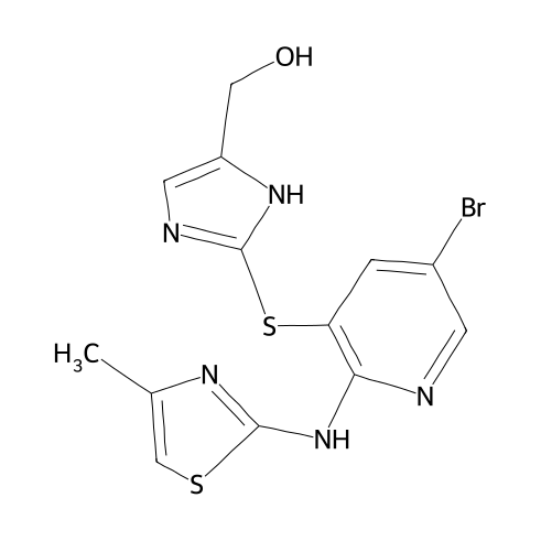 Cc1csc(Nc2ncc(Br)cc2Sc2ncc(CO)[nH]2)n1